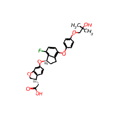 CC(C)(O)COc1ccc(Oc2ccc(F)c3c2CC[C@H]3Oc2ccc3c(c2)OC[C@H]3CC(=O)O)cc1